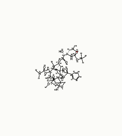 CO[C@H]1C[C@H]2OC[C@@]2(OC(C)=O)[C@@H]2[C@]1(C)C(=O)[C@H](OC(=O)N(C)C)C1=C(C)[C@@H](OC(=O)[C@H](O)[C@H](CC(C)C)NC(=O)OC(C)(C)C)C[C@]3(O)[C@@]1(C)C[C@@]23OC(=O)c1ccccc1